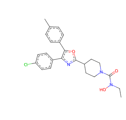 CCN(O)C(=O)N1CCC(c2nc(-c3ccc(Cl)cc3)c(-c3ccc(C)cc3)o2)CC1